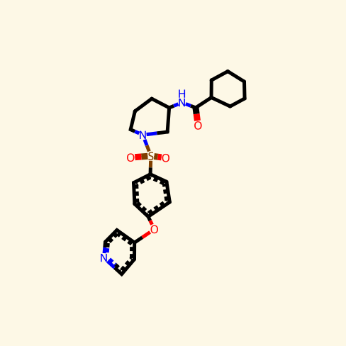 O=C(NC1CCCN(S(=O)(=O)c2ccc(Oc3ccncc3)cc2)C1)C1CCCCC1